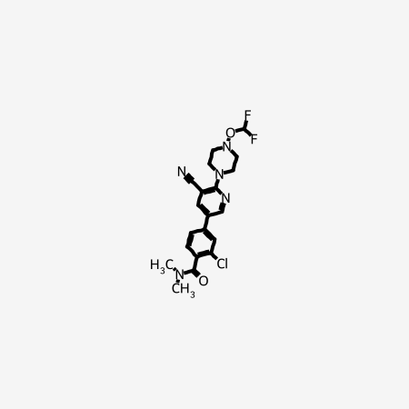 CN(C)C(=O)c1ccc(-c2cnc(N3CCN(OC(F)F)CC3)c(C#N)c2)cc1Cl